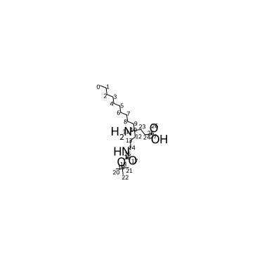 CCCCCCCCCCC(N)(CCCNC(=O)OC(C)(C)C)CCC(=O)O